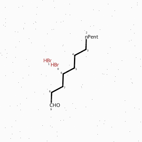 Br.Br.CCCCCCCCCCCC=O